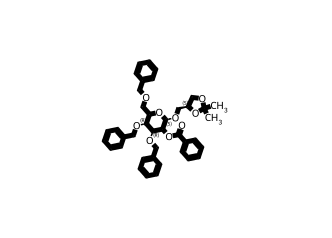 CC1(C)OC[C@H](CO[C@H]2OC(COCc3ccccc3)[C@@H](OCc3ccccc3)[C@@H](OCc3ccccc3)C2OC(=O)c2ccccc2)O1